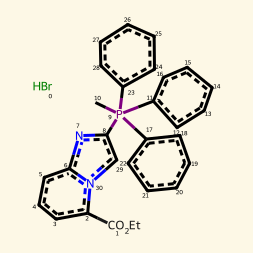 Br.CCOC(=O)c1cccc2nc(P(C)(c3ccccc3)(c3ccccc3)c3ccccc3)cn12